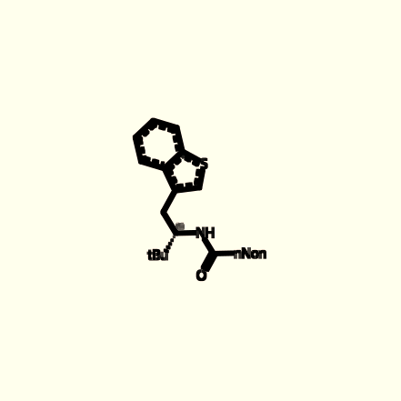 CCCCCCCCCC(=O)N[C@@H](Cc1csc2ccccc12)C(C)(C)C